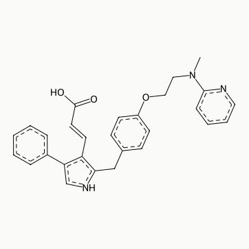 CN(CCOc1ccc(Cc2[nH]cc(-c3ccccc3)c2/C=C/C(=O)O)cc1)c1ccccn1